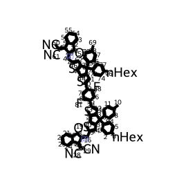 CCCCCCc1ccc(C2(c3ccc(C)cc3)c3cc(/C=C4\C(=O)c5ccccc5C4=C(C#N)C#N)sc3-c3sc(-c4cc(F)c(-c5cc6c(s5)-c5sc(/C=C7\C(=O)c8ccccc8C7=C(C#N)C#N)cc5C6(c5ccc(C)cc5)c5ccc(CCCCCC)cc5)cc4F)cc32)cc1